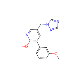 COc1cccc(-c2cc(Cn3cncn3)cnc2OC)c1